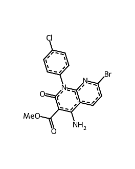 COC(=O)c1c(N)c2ccc(Br)nc2n(-c2ccc(Cl)cc2)c1=O